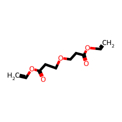 C=COC(=O)CCOCCC(=O)OC=C